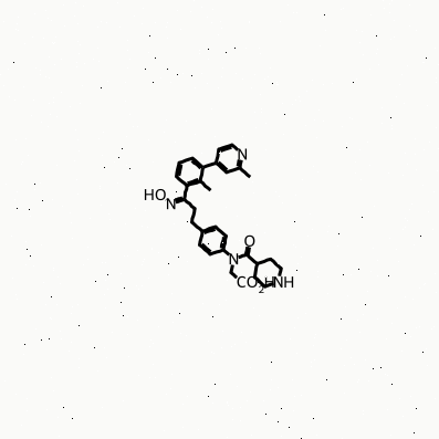 Cc1cc(-c2cccc(/C(CCc3ccc(N(CC(=O)O)C(=O)C4CCNCC4)cc3)=N\O)c2C)ccn1